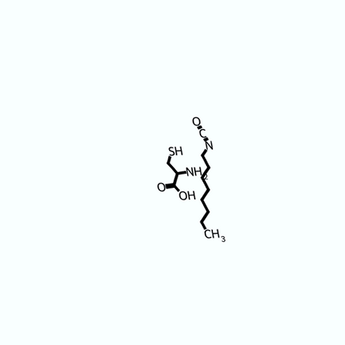 CCCCCCCCN=C=O.NC(CS)C(=O)O